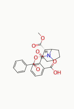 COC(=O)[C@@H]1C2CCC(C[C@@H]1OC(=O)c1ccccc1)N2C(=O)c1ccccc1C(=O)O